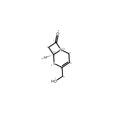 O=C1C[C@@H]2SC(CO)=CCN12